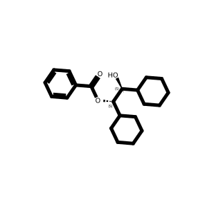 O=C(O[C@@H](C1CCCCC1)[C@@H](O)C1CCCCC1)c1ccccc1